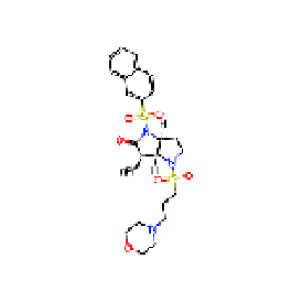 CCC[C@H]1C(=O)N(S(=O)(=O)c2ccc3ccccc3c2)[C@H]2CCN(S(=O)(=O)CCCN3CCOCC3)[C@H]12